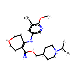 COc1ncc(NC2=C(C(=N)OCC3CCN(C(C)C)CC3)CCOCC2)cc1C